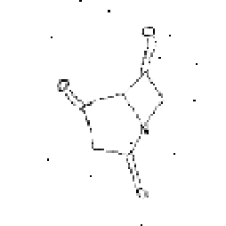 O=C1CC(=O)N2CC(=O)C12